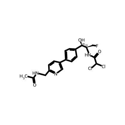 CC(=O)NCc1ccc(-c2ccc([C@@H](O)[C@@H](CF)NC(=O)C(Cl)Cl)cc2)cn1